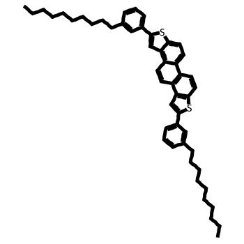 CCCCCCCCCCc1cccc(-c2cc3c(ccc4c3ccc3c5cc(-c6cccc(CCCCCCCCCC)c6)sc5ccc34)s2)c1